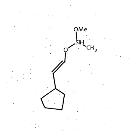 CO[SiH](C)OC=CC1CCCC1